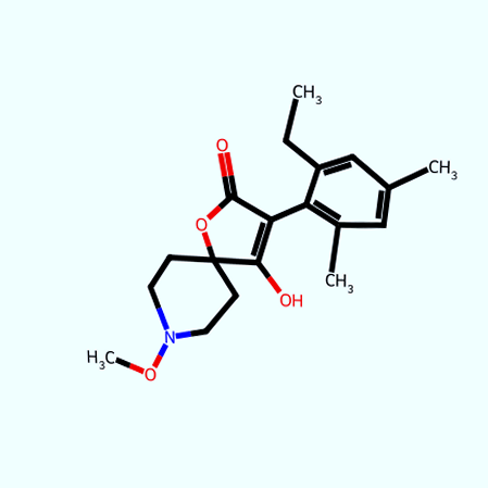 CCc1cc(C)cc(C)c1C1=C(O)C2(CCN(OC)CC2)OC1=O